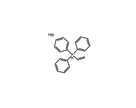 Br.C=C[PH](c1ccccc1)(c1ccccc1)c1ccccc1